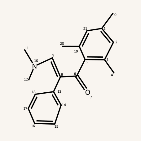 Cc1cc(C)c(C(=O)/C(=C/N(C)C)c2ccccc2)c(C)c1